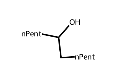 CCCCCCC(O)CCCCC